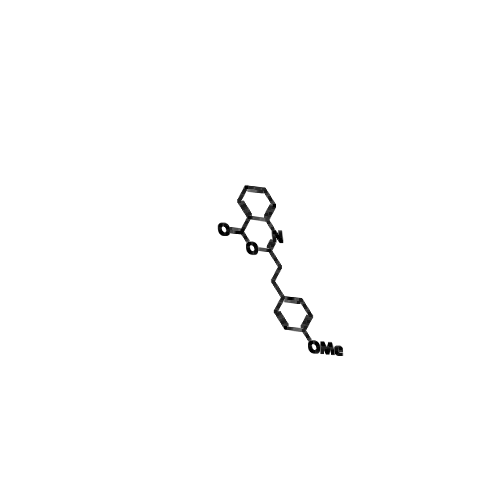 COc1ccc(CCc2nc3ccccc3c(=O)o2)cc1